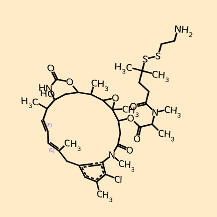 C/C1=C\C=C\C(C)C2(O)CC(OC(=O)N2)C(C)C2OC2(C)C(OC(=O)C(C)N(C)C(=O)CCC(C)(C)SSCCN)CC(=O)N(C)c2cc(cc(C)c2Cl)C1